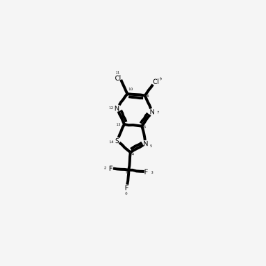 FC(F)(F)c1nc2nc(Cl)c(Cl)nc2s1